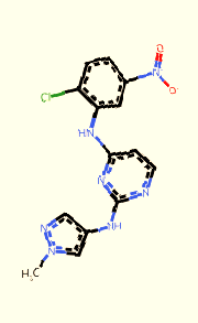 Cn1cc(Nc2nccc(Nc3cc([N+](=O)[O-])ccc3Cl)n2)cn1